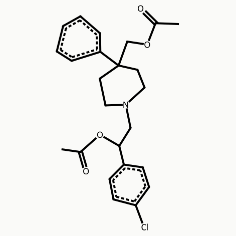 CC(=O)OCC1(c2ccccc2)CCN(CC(OC(C)=O)c2ccc(Cl)cc2)CC1